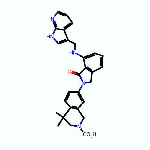 CC1(C)CN(C(=O)O)Cc2cc(N3Cc4cccc(NCc5c[nH]c6ncccc56)c4C3=O)ccc21